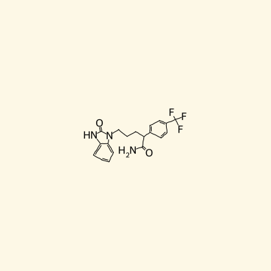 NC(=O)C(CCCn1c(=O)[nH]c2ccccc21)c1ccc(C(F)(F)F)cc1